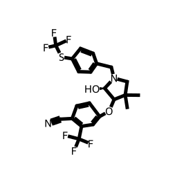 CC1(C)CN(Cc2ccc(SC(F)(F)F)cc2)[C@H](O)C1Oc1ccc(C#N)c(C(F)(F)F)c1